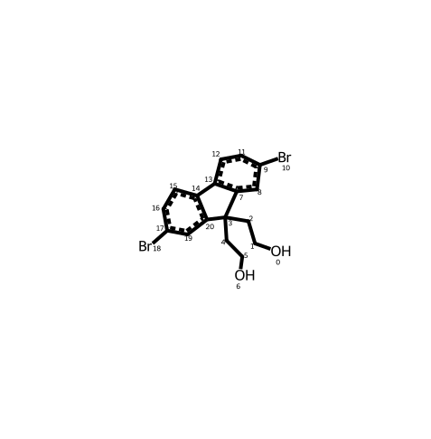 OCCC1(CCO)c2cc(Br)ccc2-c2ccc(Br)cc21